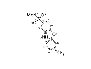 CNS(=O)(=O)c1ccc(Oc2cccc(C(F)(F)F)c2)c(N)c1